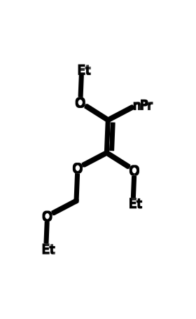 CCC/C(OCC)=C(\OCC)OCOCC